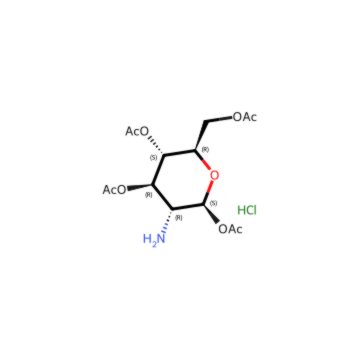 CC(=O)OC[C@H]1O[C@@H](OC(C)=O)[C@H](N)[C@@H](OC(C)=O)[C@@H]1OC(C)=O.Cl